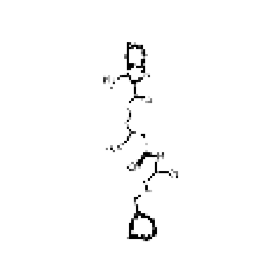 Cc1c(C(=O)OCCC(C)CC(=O)NC(C#N)COCc2ccccc2)oc2ccccc12